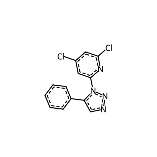 Clc1cc(Cl)nc(-n2nncc2-c2ccccc2)c1